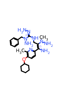 Cc1nc(/C(N)=C(\CN/C(=N/N)N(N)Cc2ccccc2)N(C)N)ccc1OC1CCCCC1